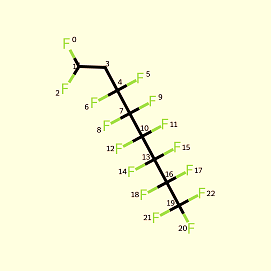 F[C](F)CC(F)(F)C(F)(F)C(F)(F)C(F)(F)C(F)(F)C(F)(F)F